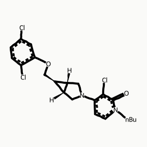 CCCCn1ccc(N2C[C@@H]3[C@@H](COc4cc(Cl)ccc4Cl)[C@@H]3C2)c(Cl)c1=O